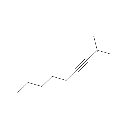 CCCCCC#C[C](C)C